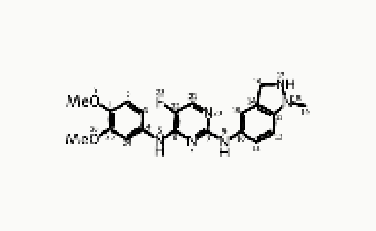 COc1ccc(Nc2nc(Nc3ccc4c(c3)CNN4C)ncc2F)cc1OC